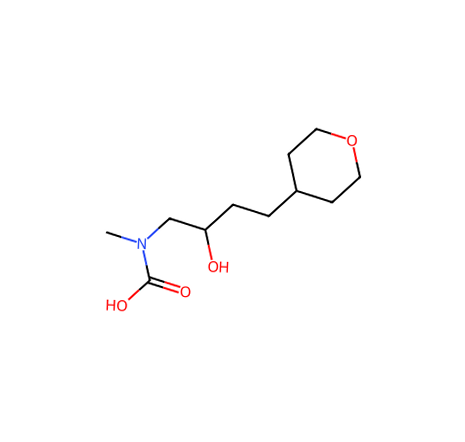 CN(CC(O)CCC1CCOCC1)C(=O)O